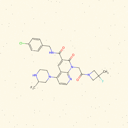 CC1(F)CN(C(=O)Cn2c(=O)c(C(=O)NCc3ccc(Cl)cc3)cc3c(N4CCNC(C(F)(F)F)C4)ccnc32)C1